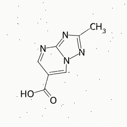 Cc1nc2ncc(C(=O)O)[c]n2n1